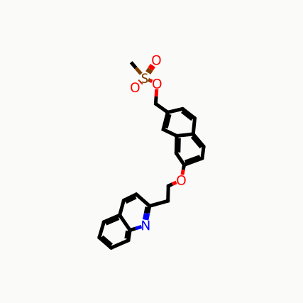 CS(=O)(=O)OCc1ccc2ccc(OCCc3ccc4ccccc4n3)cc2c1